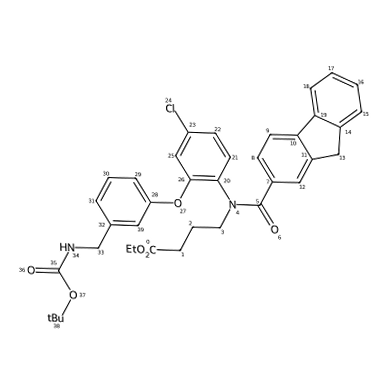 CCOC(=O)CCCN(C(=O)c1ccc2c(c1)Cc1ccccc1-2)c1ccc(Cl)cc1Oc1cccc(CNC(=O)OC(C)(C)C)c1